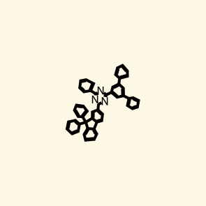 c1ccc(-c2cc(-c3ccccc3)cc(-c3nc(-c4ccccc4)nc(-c4ccc5c(c4)C(c4ccccc4)(c4ccccc4)c4ccccc4-5)n3)c2)cc1